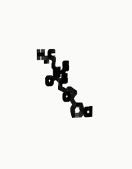 C=CCN1C(=O)C(=Cc2ccc(-c3cccc(Cl)c3)o2)SC1=S